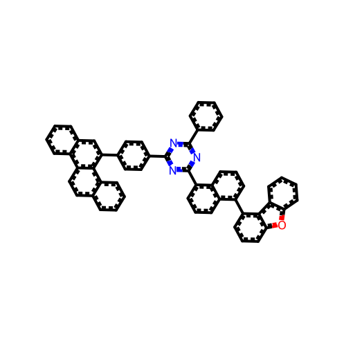 c1ccc(-c2nc(-c3ccc(-c4cc5ccccc5c5ccc6ccccc6c45)cc3)nc(-c3cccc4c(-c5cccc6oc7ccccc7c56)cccc34)n2)cc1